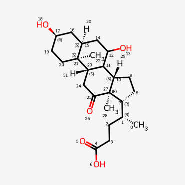 C[C@H](CCC(=O)O)[C@H]1CC[C@H]2C3C(O)C[C@@H]4C[C@H](O)CC[C@]4(C)[C@H]3CC(=O)[C@]12C